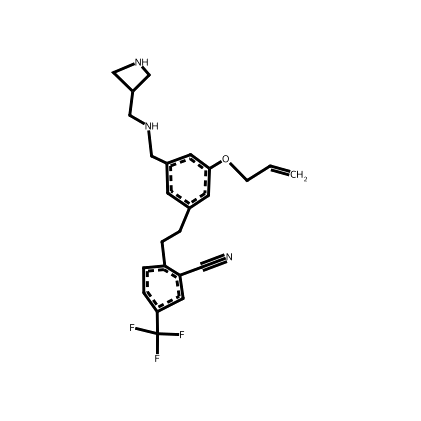 C=CCOc1cc(CCc2ccc(C(F)(F)F)cc2C#N)cc(CNCC2CNC2)c1